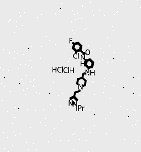 CC(C)n1cc(CCN2CCC(CNc3cccc(NC(=O)c4ccc(F)cc4Cl)c3)CC2)cn1.Cl.Cl